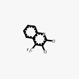 FC(F)(F)c1c(Cl)c(Cl)nc2ccccc12